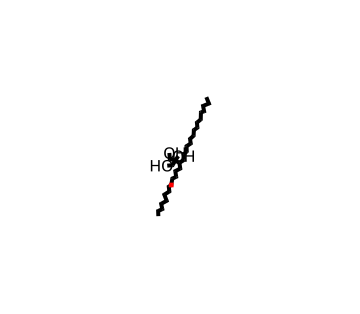 CCCCCCCCCCCCCCCCC(CCCCCCCCCCCCC)C(O)(CO)CO